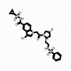 CC(=O)c1cn(CC(=O)N2C[C@H](F)C[C@H]2CCNS(=O)(=O)c2ccccc2)c2ccc(C(=O)NS(=O)(=O)C3CC3)cc12